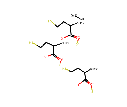 CCCCCCC(CCS)C([O-])=[O+][S-].CCCCCCC(CCS)C([O-])=[O+][S-].CCCCCCC(CCS)C([O-])=[O+][S-].CCC[CH2][Sn+3]